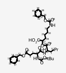 CC(C)CC(NC(=O)C(CCC(=O)OCc1ccccc1)NC(=O)OC(C)(C)C)C(=O)OC(CCCCNC(=O)OCc1ccccc1)C(=O)O